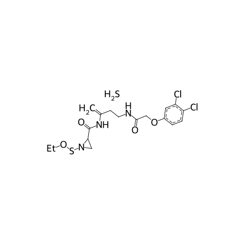 C=C(CCNC(=O)COc1ccc(Cl)c(Cl)c1)NC(=O)C1CN1SOCC.S